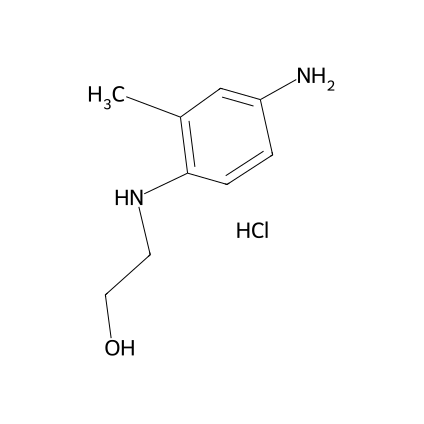 Cc1cc(N)ccc1NCCO.Cl